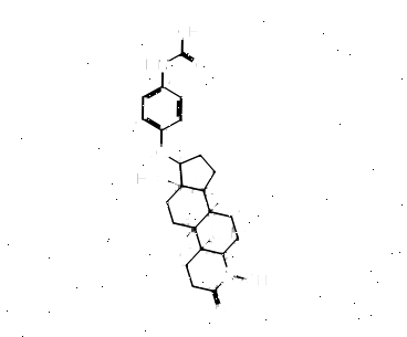 CC(=O)Nc1ccc(OC2CC[C@H]3[C@@H]4CCC5N(C)C(=O)CC[C@]5(C)[C@@H]4CC[C@]23C)cc1